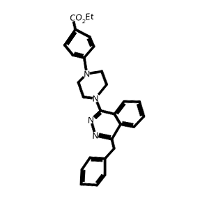 CCOC(=O)c1ccc(N2CCN(c3nnc(Cc4ccccc4)c4ccccc34)CC2)cc1